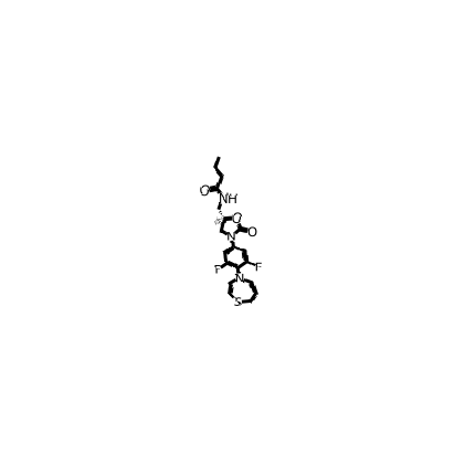 CCCC(=O)NC[C@H]1CN(c2cc(F)c(N3C=CCSC=C3)c(F)c2)C(=O)O1